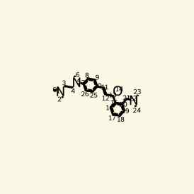 CN(C)CCN(C)c1ccc(C=CC(=O)c2ccccc2CN(C)C)cc1